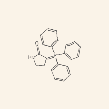 O=C1NCCC1=P(c1ccccc1)(c1ccccc1)c1ccccc1